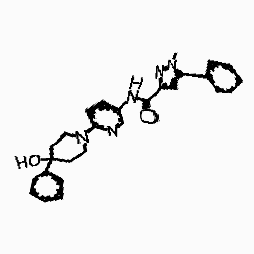 Cn1nc(C(=O)Nc2ccc(N3CCC(O)(c4ccccc4)CC3)nc2)cc1-c1ccccc1